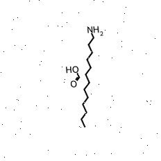 CCCCCCCCCCCCCN.O=CO